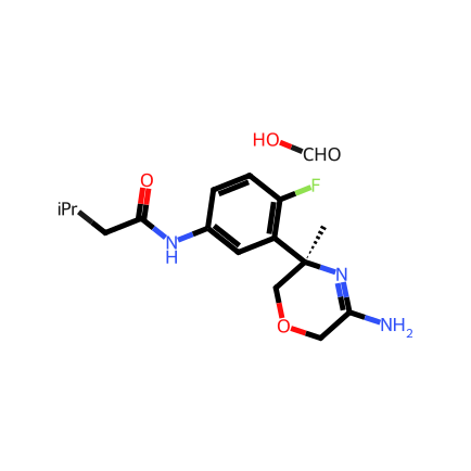 CC(C)CC(=O)Nc1ccc(F)c([C@]2(C)COCC(N)=N2)c1.O=CO